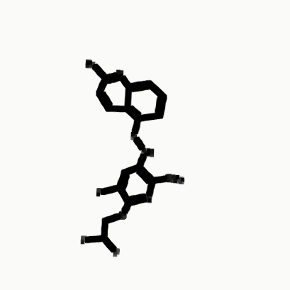 COc1nc(OCC(F)F)c(F)cc1NSc1cccc2nc(Br)ccc12